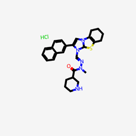 CN(N=CN1C(c2ccc3ccccc3c2)=CN2C3=C(CCCC3)SC12)C(=O)C1CCCNC1.Cl